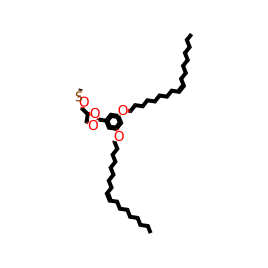 CCCCCCCC/C=C\CCCCCCCCOc1cc(OCCCCCCCC/C=C\CCCCCCCC)cc(C2OCC(COSC)O2)c1